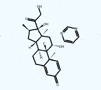 C[C@@H]1C[C@H]2[C@@H]3CCC4=CC(=O)C=C[C@]4(C)[C@@]3(F)[C@@H](O)C[C@]2(C)[C@@]1(O)C(=O)CO.c1cncnc1